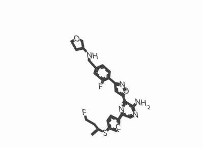 CC(CCF)Sc1ccc(-c2cnc(N)c(-c3cc(-c4ccc(CNC5CCOC5)cc4F)no3)n2)cc1